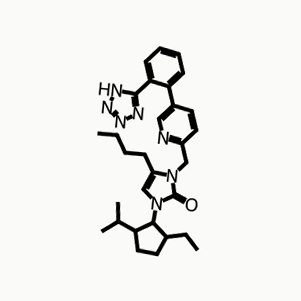 CCCCc1cn(C2C(CC)CCC2C(C)C)c(=O)n1Cc1ccc(-c2ccccc2-c2nnn[nH]2)cn1